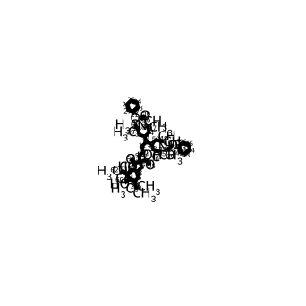 CC(C)(C)c1cc(CC(CCCC(C2CC(C)(C)N(C(=O)Oc3ccccc3)C(C)(C)C2)C2CC(C)(C)N(C(=O)Oc3ccccc3)C(C)(C)C2)(C(=O)O)C(=O)O)cc(C(C)(C)C)c1O